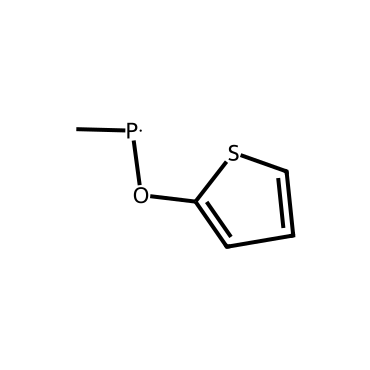 C[P]Oc1cccs1